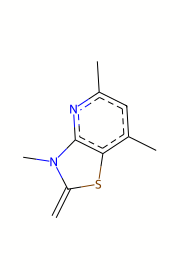 C=C1Sc2c(C)cc(C)nc2N1C